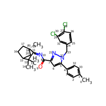 Cc1ccc(-c2cc(C(=O)N=C3C(C)(C)C4CC[C@]3(C)C4)nn2Cc2ccc(Cl)c(Cl)c2)cc1